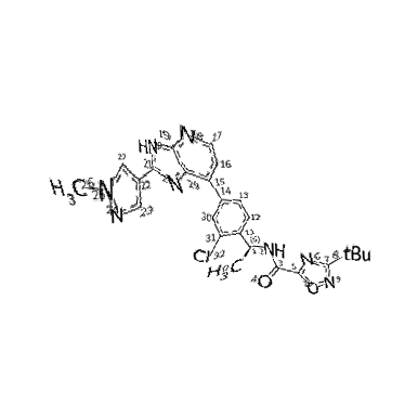 C[C@H](NC(=O)c1nc(C(C)(C)C)no1)c1ccc(-c2ccnc3[nH]c(-c4cnn(C)c4)nc23)cc1Cl